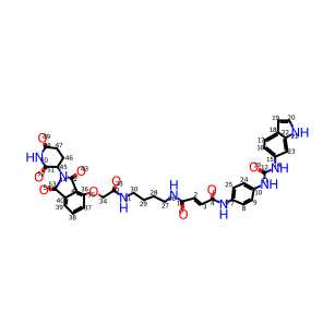 O=C(/C=C/C(=O)Nc1ccc(NC(=O)Nc2ccc3cc[nH]c3c2)cc1)NCCCCNC(=O)COc1cccc2c1C(=O)N(C1CCC(=O)NC1=O)C2=O